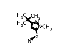 Cn1nc(C(C)(C)C)cc1SC#N